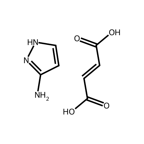 Nc1cc[nH]n1.O=C(O)/C=C/C(=O)O